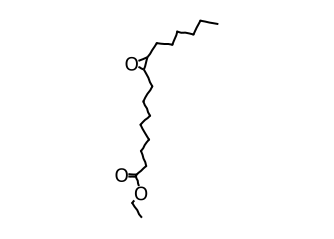 CCCCCCC1OC1CCCCCCCC(=O)OCC